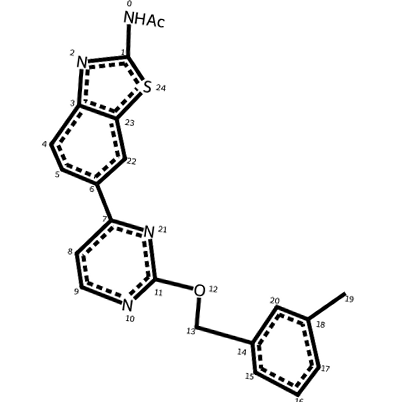 CC(=O)Nc1nc2ccc(-c3ccnc(OCc4cccc(C)c4)n3)cc2s1